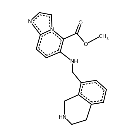 COC(=O)c1c(NCc2cccc3c2CNCC3)ccc2nccn12